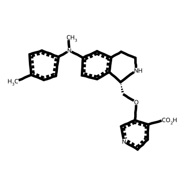 Cc1ccc(N(C)c2ccc3c(c2)CCN[C@@H]3COc2cnccc2C(=O)O)cc1